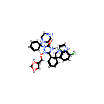 CCCN1C(=O)N(C2(N3CCNCC3)C=CC=CC2)N(OCC2COCO2)C1C1C=CC=CC1(Cn1ccnc1)c1ccc(Cl)cc1Cl